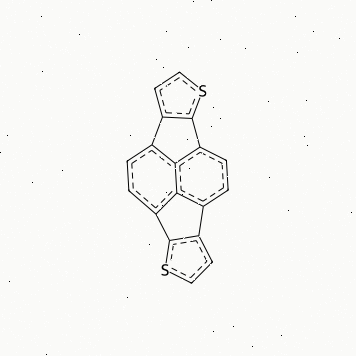 c1cc2c(s1)-c1ccc3c4c(ccc-2c14)-c1sccc1-3